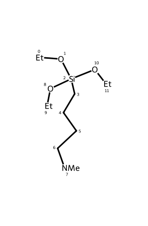 CCO[Si](CCCCNC)(OCC)OCC